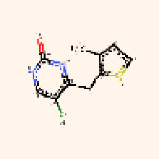 Cc1ccsc1Cc1nc(=O)[nH]cc1Cl